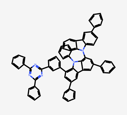 c1ccc(-c2ccc3c(c2)c2ccccc2n3-c2cc(-c3ccccc3)cc3c4cc(-c5ccccc5)cc(-c5cccc(-c6nc(-c7ccccc7)nc(-c7ccccc7)n6)c5)c4n(-c4ccccc4)c23)cc1